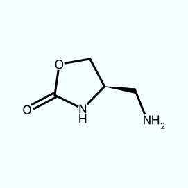 NC[C@@H]1COC(=O)N1